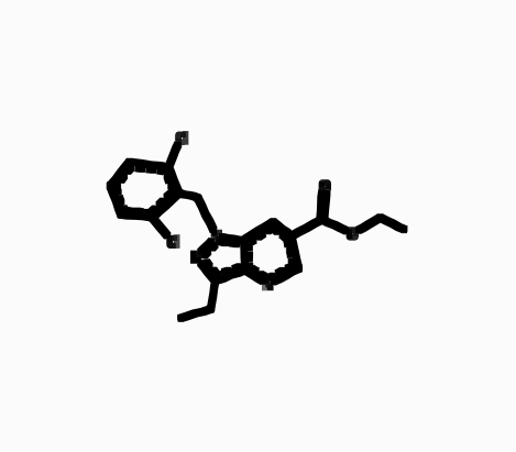 CCOC(=O)c1cnc2c(CC)nn(Cc3c(Cl)cccc3Cl)c2c1